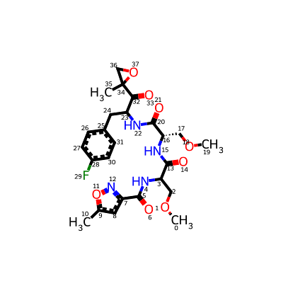 COCC(NC(=O)c1cc(C)on1)C(=O)N[C@@H](COC)C(=O)NC(Cc1ccc(F)cc1)C(=O)C1(C)CO1